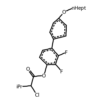 CCCCCCCOc1ccc(-c2ccc(OC(=O)C(Cl)C(C)C)c(F)c2F)cc1